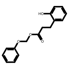 O=C(CCc1ccccc1O)OCOc1ccccc1